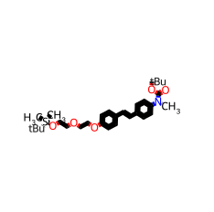 CN(C(=O)OC(C)(C)C)c1ccc(C=Cc2ccc(OCCOCCO[Si](C)(C)C(C)(C)C)cc2)cc1